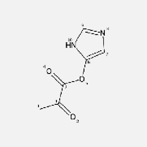 CC(=O)C(=O)Oc1cnc[nH]1